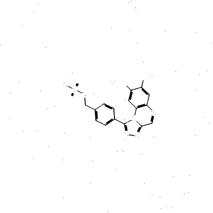 COc1cc2ncc3nnc(-c4ccc(CNS(N)(=O)=O)cc4)n3c2cc1OC